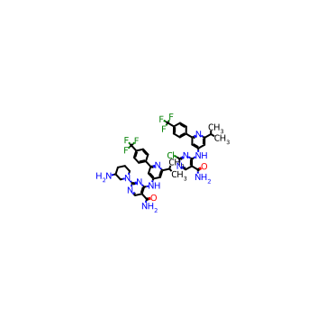 CC(C)c1cc(Nc2nc(Cl)ncc2C(N)=O)cc(-c2ccc(C(F)(F)F)cc2)n1.CC(C)c1cc(Nc2nc(N3CCCC(N)C3)ncc2C(N)=O)cc(-c2ccc(C(F)(F)F)cc2)n1